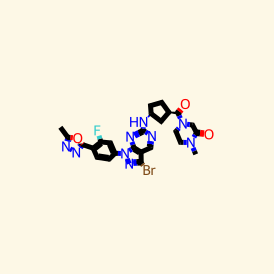 Cc1nnc(-c2ccc(-n3nc(Br)c4cnc(N[C@@H]5CC[C@@H](C(=O)N6CCN(C)C(=O)C6)C5)nc43)cc2F)o1